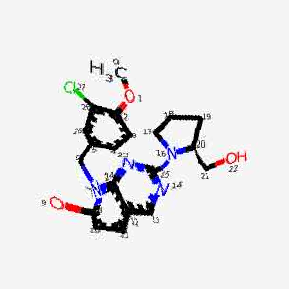 COc1ccc(Cn2c(=O)ccc3cnc(N4CCC[C@H]4CO)nc32)cc1Cl